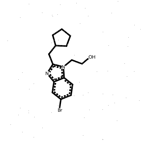 OCCn1c(CC2CCCC2)nc2cc(Br)ccc21